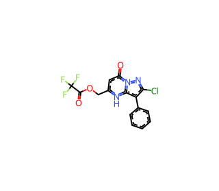 O=C(OCc1cc(=O)n2nc(Cl)c(-c3ccccc3)c2[nH]1)C(F)(F)F